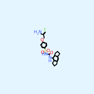 NC/C(=C\F)COc1ccc(S(=O)(=O)NC(=O)Nc2c3c(cc4c2CCC4)CCC3)cc1